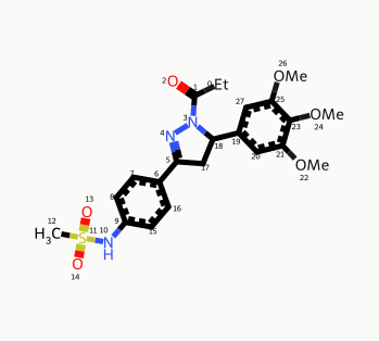 CCC(=O)N1N=C(c2ccc(NS(C)(=O)=O)cc2)CC1c1cc(OC)c(OC)c(OC)c1